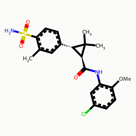 COc1ccc(Cl)cc1NC(=O)[C@H]1[C@H](c2ccc(S(N)(=O)=O)c(C)c2)C1(C)C